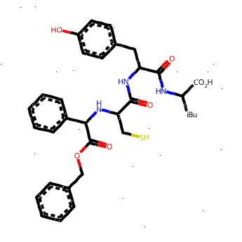 CCC(C)C(NC(=O)C(Cc1ccc(O)cc1)NC(=O)C(CS)NC(C(=O)OCc1ccccc1)c1ccccc1)C(=O)O